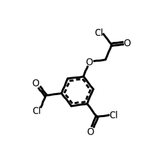 O=C(Cl)COc1cc(C(=O)Cl)cc(C(=O)Cl)c1